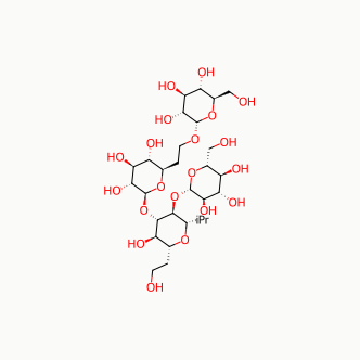 CC(C)[C@@H]1O[C@H](CCO)[C@@H](O)[C@H](O[C@@H]2O[C@H](CCO[C@H]3O[C@H](CO)[C@@H](O)[C@H](O)[C@H]3O)[C@@H](O)[C@H](O)[C@H]2O)[C@H]1O[C@@H]1O[C@H](CO)[C@@H](O)[C@H](O)[C@H]1O